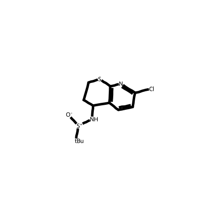 CC(C)(C)[S+]([O-])NC1CCSc2nc(Cl)ccc21